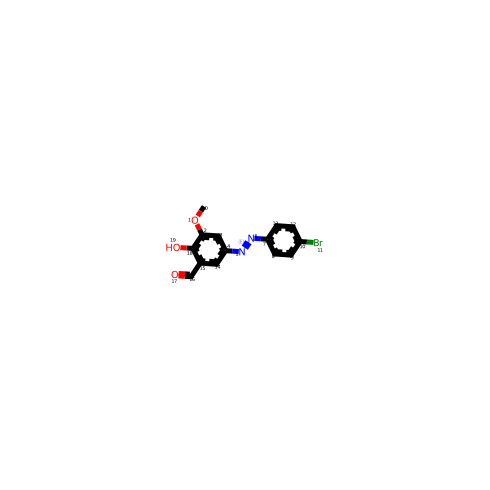 COc1cc(/N=N/c2ccc(Br)cc2)cc(C=O)c1O